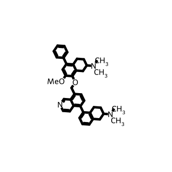 COc1cc(-c2ccccc2)c2c(c1OCc1ccc(-c3cccc4c3CCC(N(C)C)C4)c3ccncc13)CC(N(C)C)CC2